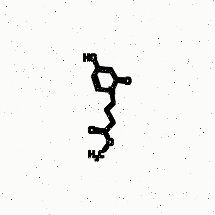 COC(=O)CCCn1ccc(O)cc1=O